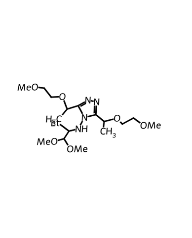 CCC(Nn1c(C(C)OCCOC)nnc1C(C)OCCOC)C(OC)OC